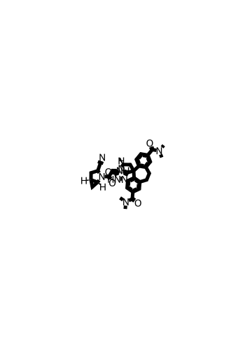 C[C@@H](CC1(c2n[nH]c(=O)[nH]2)c2ccc(C(=O)N(C)C)cc2CCc2cc(C(=O)N(C)C)ccc21)NCC(=O)N1C(C#N)C[C@@H]2C[C@@H]21